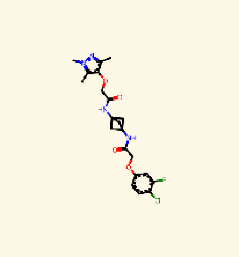 Cc1nn(C)c(C)c1OCC(=O)NC12CC(NC(=O)COc3ccc(Cl)c(F)c3)(C1)C2